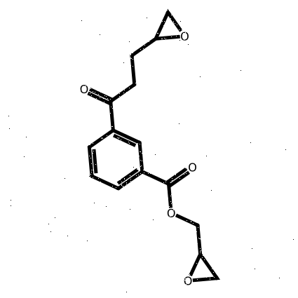 O=C(CCC1CO1)c1cccc(C(=O)OCC2CO2)c1